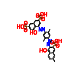 Cc1ccc2c(O)c(/N=N/c3cc(C)c(/N=N/c4cc(S(=O)(=O)O)cc5cc(S(=O)(=O)O)cc(O)c45)cc3C)c(S(=O)(=O)O)cc2c1